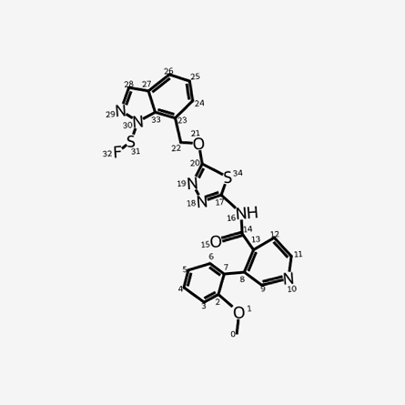 COc1ccccc1-c1cnccc1C(=O)Nc1nnc(OCc2cccc3cnn(SF)c23)s1